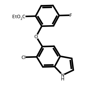 CCOC(=O)c1ccc(F)cc1Oc1cc2cc[nH]c2cc1Cl